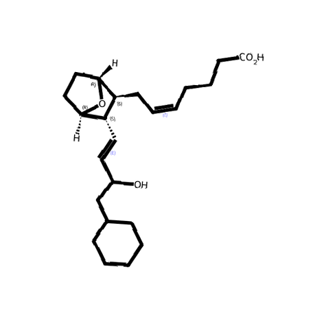 O=C(O)CCC/C=C\C[C@H]1[C@H](/C=C/C(O)CC2CCCCC2)[C@H]2CC[C@H]1O2